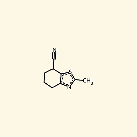 Cc1nc2c(s1)C(C#N)CCC2